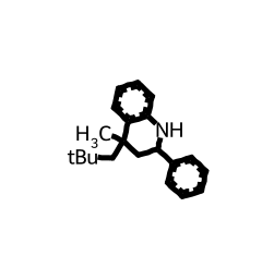 CC(C)(C)CC1(C)CC(c2ccccc2)Nc2ccccc21